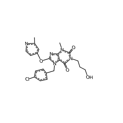 Cc1cc(Oc2nc3c(c(=O)n(CCCO)c(=O)n3C)n2Cc2ccc(Cl)cc2)ccn1